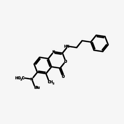 Cc1c(N(C(=O)O)C(C)(C)C)ccc2nc(NCCc3ccccc3)oc(=O)c12